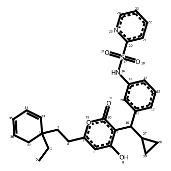 CCC1(CCc2cc(O)c(C(c3cccc(NS(=O)(=O)c4ccccn4)c3)C3CC3)c(=O)o2)C=CC=CC1